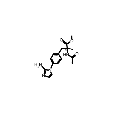 COC(=O)[C@@](C)(Cc1ccc(-n2ccnc2N)cc1)NC(C)=O